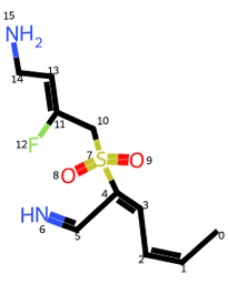 C/C=C\C=C(/C=N)S(=O)(=O)C/C(F)=C/CN